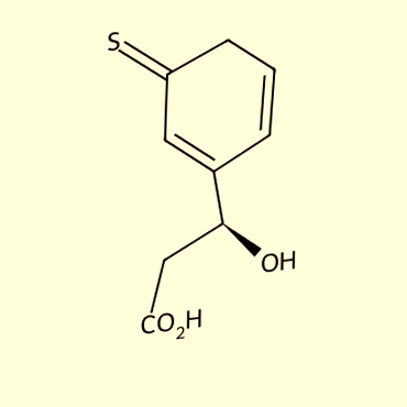 O=C(O)C[C@H](O)C1=CC(=S)CC=C1